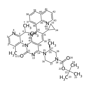 Cc1ccnc(C(C)C)c1-n1c(=O)nc(N2CCN(C(=O)OC(C)(C)C)C[C@@H]2C)c2cc(C3CC3)c(-c3cccc4cccnc34)nc21